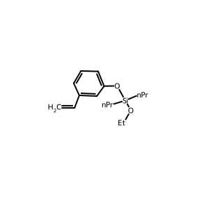 C=Cc1cccc(O[Si](CCC)(CCC)OCC)c1